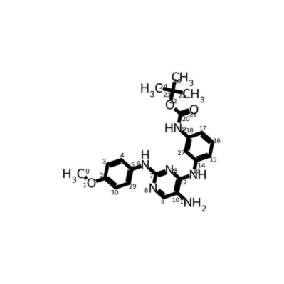 COc1ccc(Nc2ncc(N)c(Nc3cccc(NC(=O)OC(C)(C)C)c3)n2)cc1